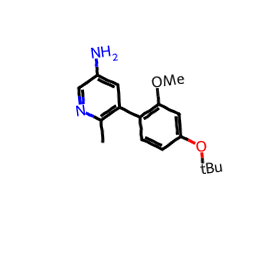 COc1cc(OC(C)(C)C)ccc1-c1cc(N)cnc1C